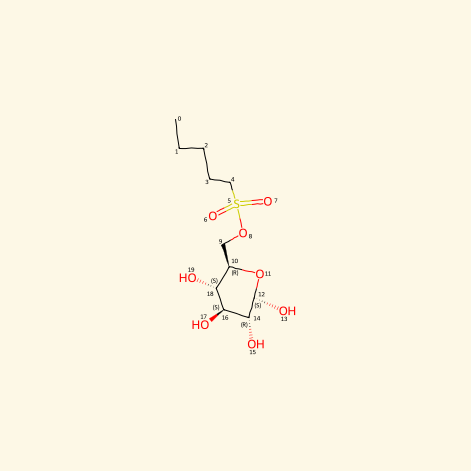 CCCCCS(=O)(=O)OC[C@H]1O[C@H](O)[C@H](O)[C@@H](O)[C@@H]1O